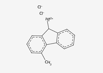 Cc1cccc2c1-c1ccccc1[CH]2[Hf+2].[Cl-].[Cl-]